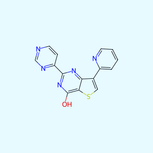 Oc1nc(-c2ccncn2)nc2c(-c3ccccn3)csc12